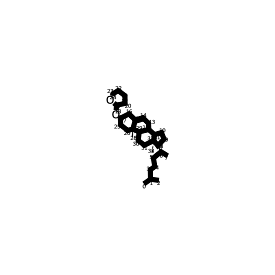 CC(C)CCCC(C)[C@H]1CCC2C3CC=C4C[C@@H](OC5CCCCO5)CC[C@]4(C)C3CC[C@@]21C